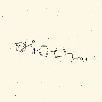 CN(Cc1ccc(-c2ccc(NC(=O)[C@H]3CN4CCC3CC4)cc2)cc1)C(=O)O